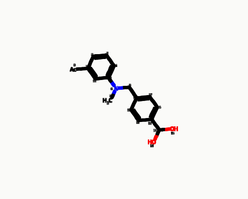 CC(=O)c1cccc(N(C)Cc2ccc(C(O)O)cc2)c1